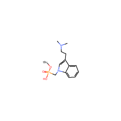 CN(C)CCc1cn(CP(=O)(O)OC(C)(C)C)c2ccccc12